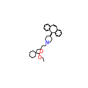 CCOC(=O)C1(CCCCN2CCC(=C3c4ccccc4C=Cc4ccccc43)CC2)CCCCC1